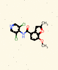 COc1ccc(C(=O)Nc2c(Cl)cncc2Cl)c2cc(C)oc12